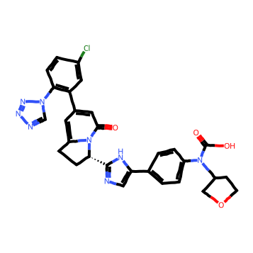 O=C(O)N(c1ccc(-c2cnc([C@@H]3CCc4cc(-c5cc(Cl)ccc5-n5cnnn5)cc(=O)n43)[nH]2)cc1)C1CCOC1